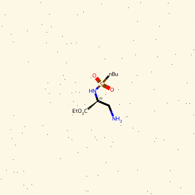 CCCCS(=O)(=O)N[C@@H](CN)C(=O)OCC